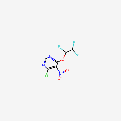 O=[N+]([O-])c1c(Cl)ncnc1OC(F)C(F)F